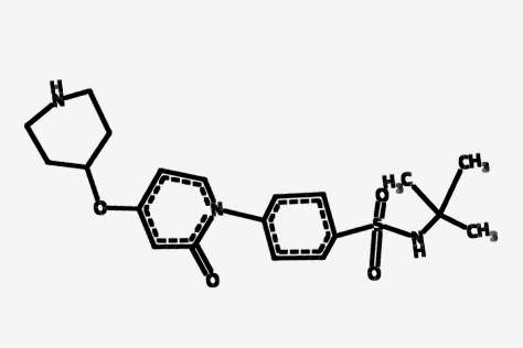 CC(C)(C)NS(=O)(=O)c1ccc(-n2ccc(OC3CCNCC3)cc2=O)cc1